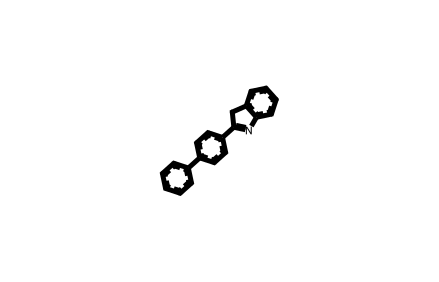 c1ccc(-c2ccc(C3=Nc4ccccc4C3)cc2)cc1